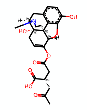 CC(=O)C[C@@H](CC(=O)OC1=CC[C@@]2(O)[C@H]3Cc4ccc(O)c5c4[C@@]2(CCN3C)[C@H]1O5)C(=O)O